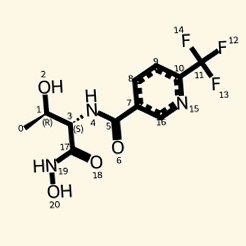 C[C@@H](O)[C@H](NC(=O)c1ccc(C(F)(F)F)nc1)C(=O)NO